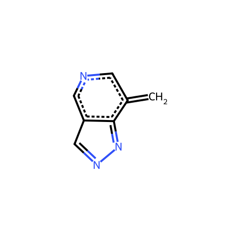 C=c1cncc2c1=NN=C2